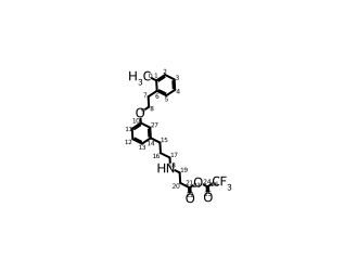 Cc1ccccc1CCOc1cccc(CCCNCCC(=O)OC(=O)C(F)(F)F)c1